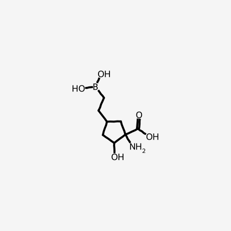 NC1(C(=O)O)CC(CCB(O)O)CC1O